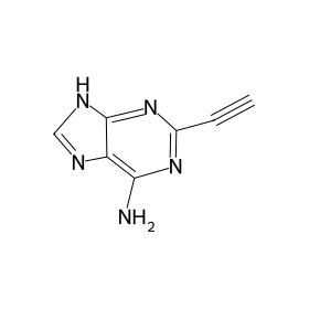 C#Cc1nc(N)c2nc[nH]c2n1